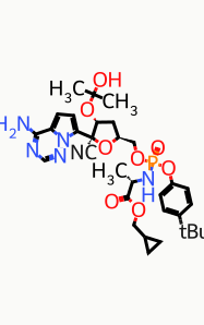 C[C@H](NP(=O)(OC[C@@H]1C[C@@H](OC(C)(C)O)[C@](C#N)(c2ccc3c(N)ncnn23)O1)Oc1ccc(C(C)(C)C)cc1)C(=O)OCC1CC1